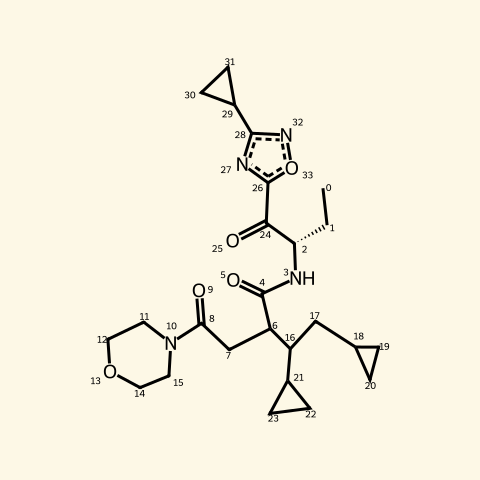 CC[C@H](NC(=O)C(CC(=O)N1CCOCC1)C(CC1CC1)C1CC1)C(=O)c1nc(C2CC2)no1